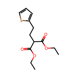 CCOC(=O)C(CCc1cccs1)C(=O)OCC